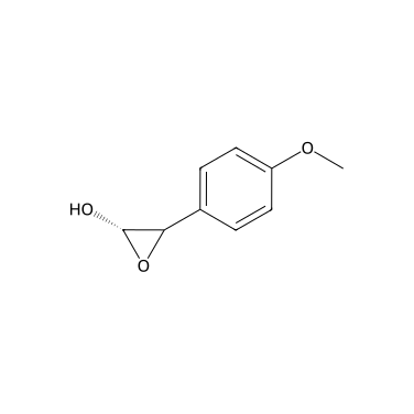 COc1ccc(C2O[C@@H]2O)cc1